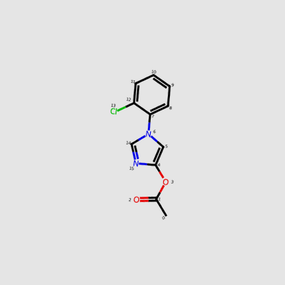 CC(=O)Oc1cn(-c2ccccc2Cl)cn1